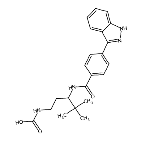 CC(C)(C)C(CCNC(=O)O)NC(=O)c1ccc(-c2n[nH]c3ccccc23)cc1